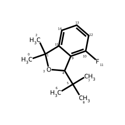 CC1(C)OC(C(C)(C)C)c2c(F)cccc21